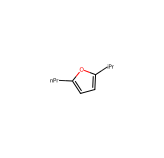 CCCc1ccc(C(C)C)o1